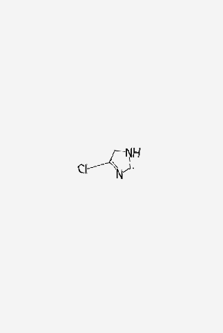 ClC1=N[CH]NC1